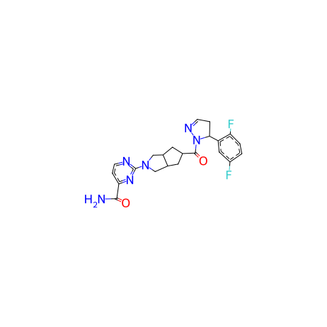 NC(=O)c1ccnc(N2CC3CC(C(=O)N4N=CCC4c4cc(F)ccc4F)CC3C2)n1